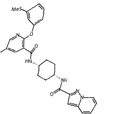 CSc1cccc(Oc2ncc(F)cc2C(=O)N[C@H]2CC[C@@H](NC(=O)c3cc4ccccn4n3)CC2)c1